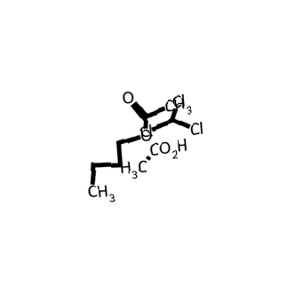 CC(=O)O.CCCCOC(C)=O.ClC(Cl)Cl